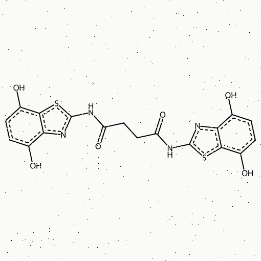 O=C(CCC(=O)Nc1nc2c(O)ccc(O)c2s1)Nc1nc2c(O)ccc(O)c2s1